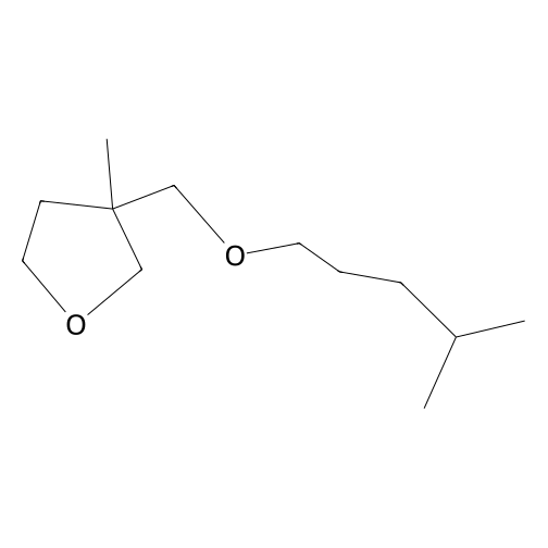 CC(C)CCCOCC1(C)CCOC1